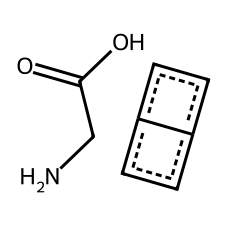 NCC(=O)O.c1cc2ccc1-2